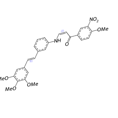 COc1ccc(C(=O)/C=C\Nc2cccc(/C=C/c3cc(OC)c(OC)c(OC)c3)c2)cc1[N+](=O)[O-]